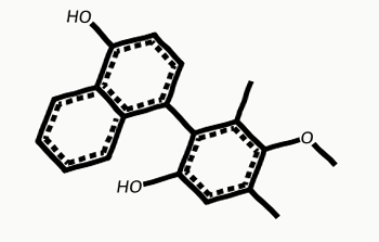 COc1c(C)cc(O)c(-c2ccc(O)c3ccccc23)c1C